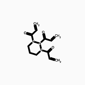 C=CC(=O)N1CCCN(C(=O)C=C)N1C(=O)C=C